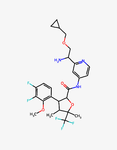 COc1c(C2C(C(=O)Nc3ccnc(C(N)COCC4CC4)c3)OC(C)(C(F)(F)F)C2C)ccc(F)c1F